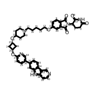 O=C1CCC(N2C(=O)c3ccc(OCCCCCN4CCC(O[C@H]5C[C@H](Oc6ccc(-c7ccc8c(c7)[nH]c7ccncc78)cn6)C5)CC4)cc3C2=O)C(=O)N1